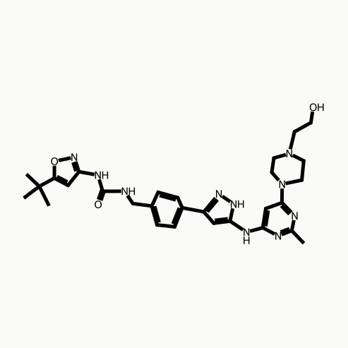 Cc1nc(Nc2cc(-c3ccc(CNC(=O)Nc4cc(C(C)(C)C)on4)cc3)n[nH]2)cc(N2CCN(CCO)CC2)n1